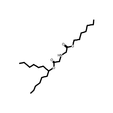 CCCCCCCOC(=O)CNCC(=O)OC(CCCCCC)CCCCCC